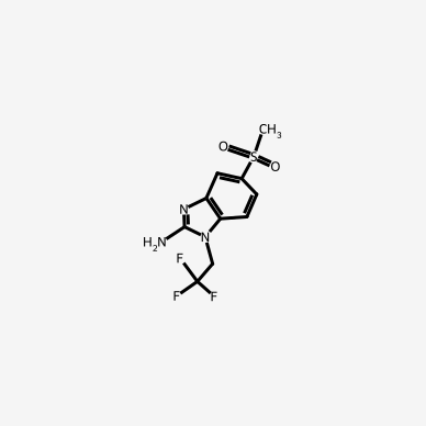 CS(=O)(=O)c1ccc2c(c1)nc(N)n2CC(F)(F)F